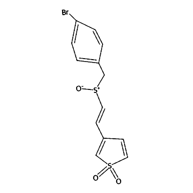 O=S1(=O)C=CC(/C=C/[S+]([O-])Cc2ccc(Br)cc2)=C1